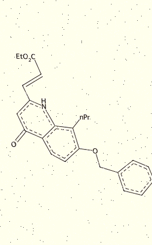 CCCc1c(OCc2ccccc2)ccc2c(=O)cc(C=CC(=O)OCC)[nH]c12